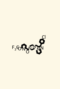 O=C(c1cccc(OC(F)(F)F)n1)N1CCN(Cc2c(-c3ccc(Cl)cc3)nc3ccccn23)CC1